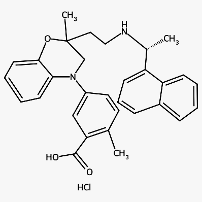 Cc1ccc(N2CC(C)(CCN[C@H](C)c3cccc4ccccc34)Oc3ccccc32)cc1C(=O)O.Cl